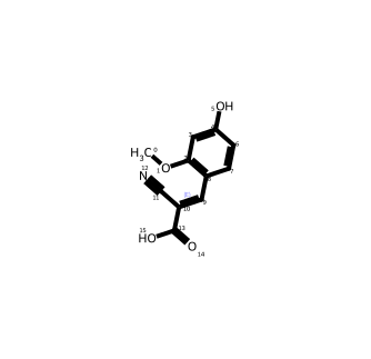 COc1cc(O)ccc1/C=C(\C#N)C(=O)O